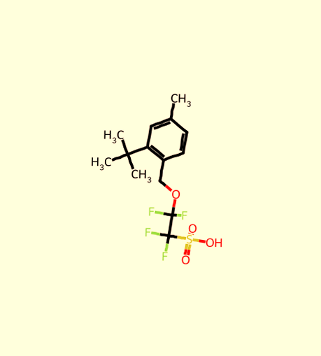 Cc1ccc(COC(F)(F)C(F)(F)S(=O)(=O)O)c(C(C)(C)C)c1